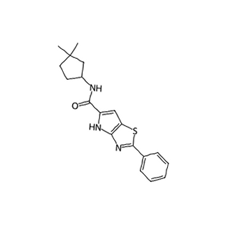 CC1(C)CCC(NC(=O)c2cc3sc(-c4ccccc4)nc3[nH]2)C1